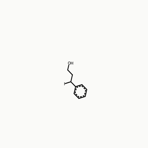 OCCC(I)c1ccccc1